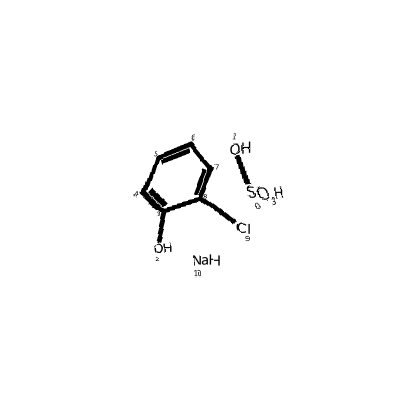 O=S(=O)(O)O.Oc1ccccc1Cl.[NaH]